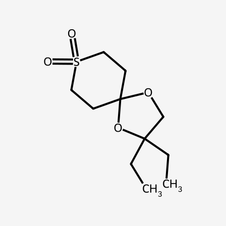 CCC1(CC)COC2(CCS(=O)(=O)CC2)O1